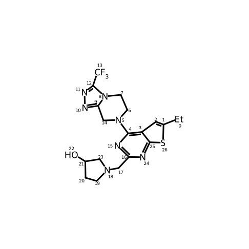 CCc1cc2c(N3CCn4c(nnc4C(F)(F)F)C3)nc(CN3CCC(O)C3)nc2s1